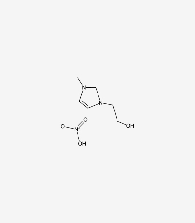 CN1C=CN(CCO)C1.O=[N+]([O-])O